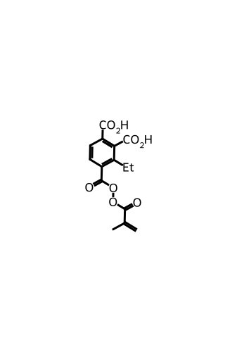 C=C(C)C(=O)OOC(=O)c1ccc(C(=O)O)c(C(=O)O)c1CC